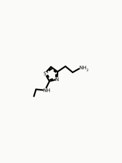 CCNc1nc(CCN)cs1